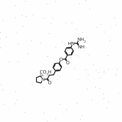 N=C(N)Nc1ccc(C(=O)Oc2ccc(CCC(=O)N3CCC[C@@H]3C(=O)O)cc2)cc1